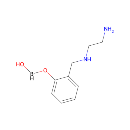 NCCNCc1ccccc1OBO